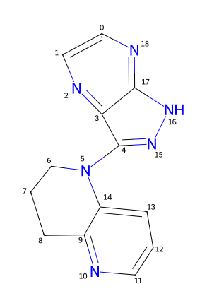 [c]1cnc2c(N3CCCc4ncccc43)n[nH]c2n1